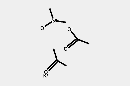 CC(=O)[O-].CC(C)=O.C[S+](C)[O-].[K+]